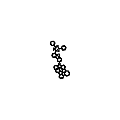 C1=CC2=C(C=CC1)C1(c3ccccc3-c3ccccc31)c1c2ccc2c1c1ccccc1n2-c1ccc2oc3c(-c4nc(-c5ccccc5)nc(-c5ccccc5)n4)cccc3c2c1